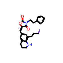 O=C1O/C(=C/c2cc(CCCI)c3c(c2)CCCN3)C(=O)N1CCc1ccccc1